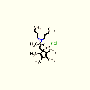 CCCCN(CCCC)[Si](C)(C)C[C]1([Ti+2])C(C)=C(C)C(C)=C1C.[Cl-].[Cl-]